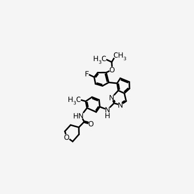 Cc1ccc(Nc2ncc3cccc(-c4ccc(F)cc4OC(C)C)c3n2)cc1NC(=O)C1CCOCC1